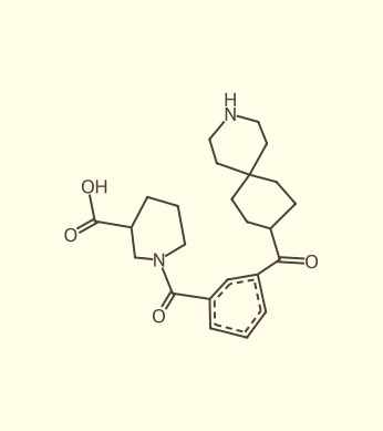 O=C(O)C1CCCN(C(=O)c2cccc(C(=O)C3CCC4(CCNCC4)CC3)c2)C1